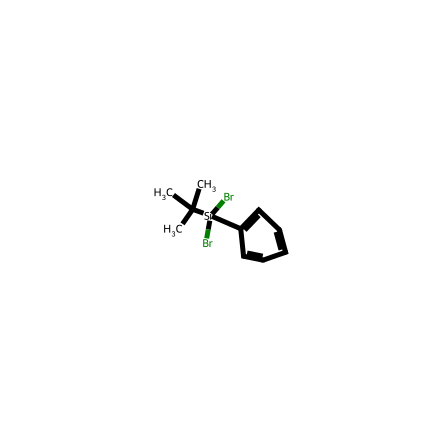 CC(C)(C)[Si](Br)(Br)c1ccccc1